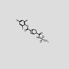 CS(=O)(=O)NC(=O)C1CC2CC1CC2C(=O)Oc1c(I)cc(I)cc1I